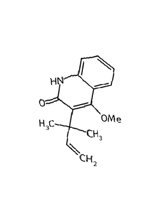 C=CC(C)(C)c1c(OC)c2ccccc2[nH]c1=O